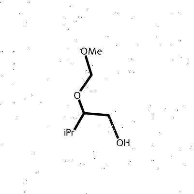 COCOC(CO)C(C)C